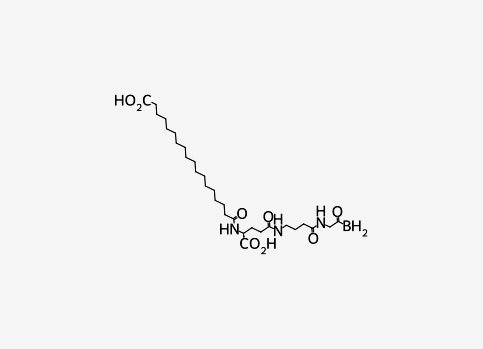 BC(=O)CNC(=O)CCCNC(=O)CC[C@H](NC(=O)CCCCCCCCCCCCCCCCC(=O)O)C(=O)O